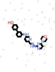 Oc1ccc(-c2cccc(Nc3ccc(/C=N/Nc4ncc(F)c(N5CCOCC5)n4)nc3)c2)cc1